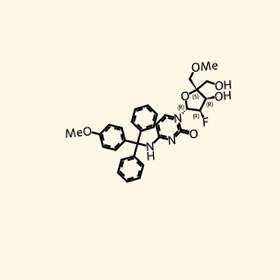 COC[C@]1(CO)O[C@@H](n2ccc(NC(c3ccccc3)(c3ccccc3)c3ccc(OC)cc3)nc2=O)[C@H](F)[C@@H]1O